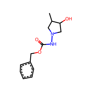 CC1CN(NC(=O)OCc2ccccc2)CC1O